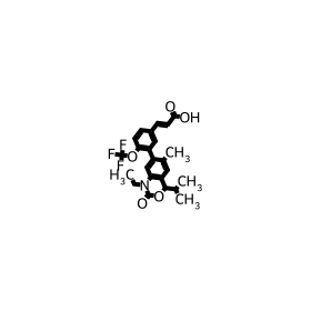 CCN1C(=O)OC(C(C)C)c2cc(C)c(-c3cc(C=CC(=O)O)ccc3OC(F)(F)F)cc21